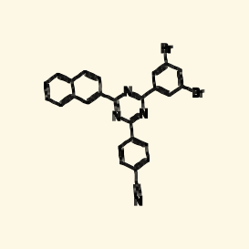 N#Cc1ccc(-c2nc(-c3cc(Br)cc(Br)c3)nc(-c3ccc4ccccc4c3)n2)cc1